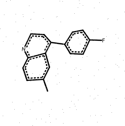 Cc1ccc2nccc(-c3ccc(F)cc3)c2c1